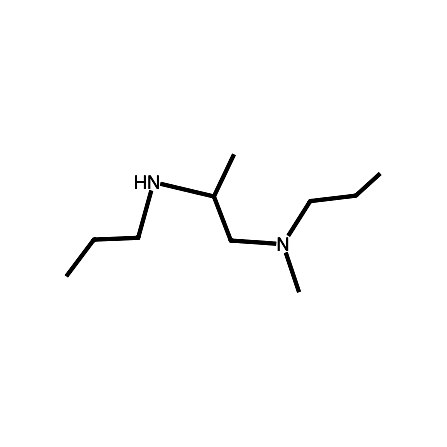 CCCNC(C)CN(C)CCC